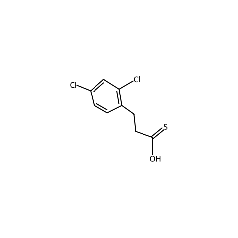 OC(=S)CCc1ccc(Cl)cc1Cl